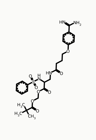 CC(C)(C)C(=O)OCOC(=O)C(CNC(=O)CCCOc1ccc(C(=N)N)cc1)NS(=O)(=O)c1ccccc1